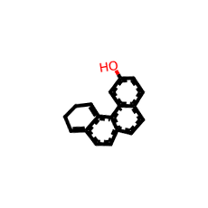 Oc1ccc2ccc3ccc4c(c3c2c1)=CCCC=4